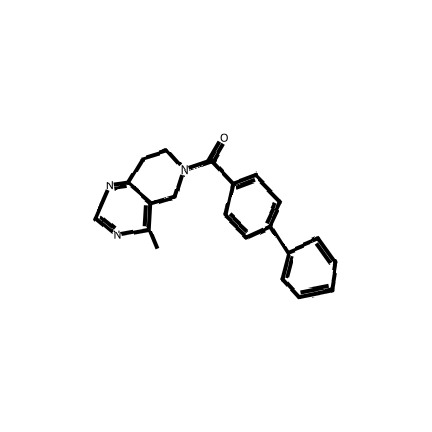 Cc1ncnc2c1CN(C(=O)c1ccc(-c3ccccc3)cc1)CC2